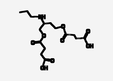 CCCNC(CCOC(=O)CCC(=O)O)COC(=O)CCC(=O)O